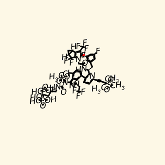 CC(C)(C#Cc1ccc(-c2ccc(Cl)c3c(N(C(=O)NCCCC(O)(P(=O)(O)O)P(=O)(O)O)S(C)(=O)=O)nn(CC(F)(F)F)c23)c([C@H](Cc2cc(F)cc(F)c2)NC(=O)Cn2nc(C(F)(F)F)c3c2C(F)(F)[C@@H]2C[C@H]32)n1)S(C)(=O)=O